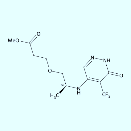 COC(=O)CCOC[C@H](C)Nc1cn[nH]c(=O)c1C(F)(F)F